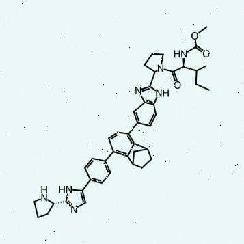 CCC(C)[C@H](NC(=O)OC)C(=O)N1CCCC1c1nc2cc(-c3ccc(-c4ccc(-c5cnc([C@@H]6CCCN6)[nH]5)cc4)c4c3C3CCC4C3)ccc2[nH]1